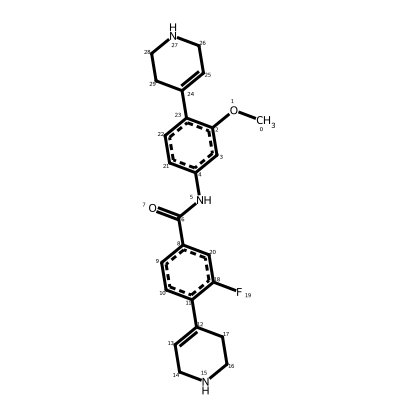 COc1cc(NC(=O)c2ccc(C3=CCNCC3)c(F)c2)ccc1C1=CCNCC1